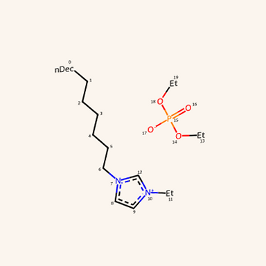 CCCCCCCCCCCCCCCCn1cc[n+](CC)c1.CCOP(=O)([O-])OCC